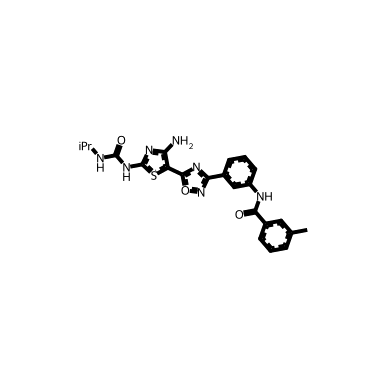 Cc1cccc(C(=O)Nc2cccc(-c3noc(-c4sc(NC(=O)NC(C)C)nc4N)n3)c2)c1